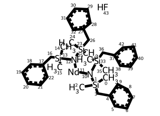 C[Si](C)(Cc1ccccc1)[N]([Nd][N]([Si](C)(C)Cc1ccccc1)[Si](C)(C)Cc1ccccc1)[Si](C)(C)Cc1ccccc1.F